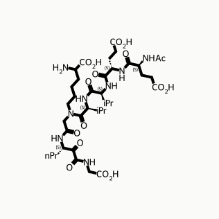 CCC[C@H](NC(=O)CN(CCCCC(N)C(=O)O)C(=O)[C@@H](NC(=O)[C@@H](NC(=O)[C@H](CCC(=O)O)NC(=O)[C@H](CCC(=O)O)NC(C)=O)C(C)C)C(C)C)C(=O)C(=O)NCC(=O)O